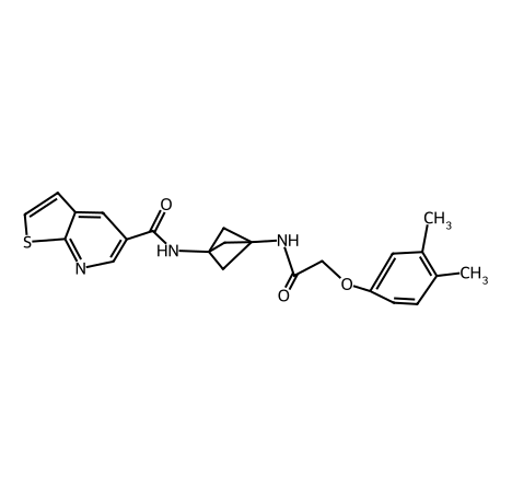 Cc1ccc(OCC(=O)NC23CC(NC(=O)c4cnc5sccc5c4)(C2)C3)cc1C